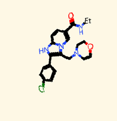 CCNC(=O)C1=CN2C(CN3CCOCC3)=C(c3ccc(Cl)cc3)NC2C=C1